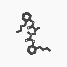 CCSCc1ccccc1OC(=O)N(C)SN(C)C(=O)Oc1ccccc1CSCC